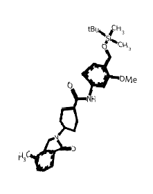 COc1cc(NC(=O)C2CCC(N3Cc4c(C)cccc4C3=O)CC2)ccc1CO[Si](C)(C)C(C)(C)C